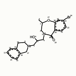 CC1CN(CC(O)CN2CCc3ccccc3C2)C(=O)c2ccc(Br)cc2O1